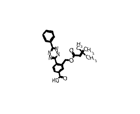 CC(C)(C)CC(=O)OCc1cc(C(=O)O)ccc1-c1nnc(-c2ccccc2)nn1